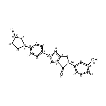 O=C1c2cn(-c3ccc(N4CC[C@@H](F)C4)nc3)nc2CN1c1ccnc(O)c1